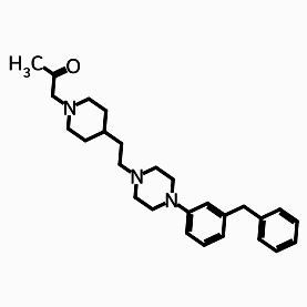 CC(=O)CN1CCC(CCN2CCN(c3cccc(Cc4ccccc4)c3)CC2)CC1